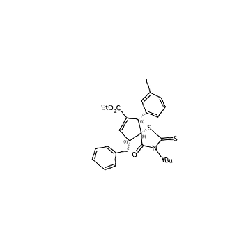 CCOC(=O)C1=C[C@@H](Cc2ccccc2)[C@@]2(SC(=S)N(C(C)(C)C)C2=O)[C@H]1c1cccc(C)c1